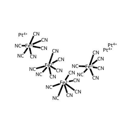 N#[C][Fe-3]([C]#N)([C]#N)([C]#N)([C]#N)[C]#N.N#[C][Fe-3]([C]#N)([C]#N)([C]#N)([C]#N)[C]#N.N#[C][Fe-3]([C]#N)([C]#N)([C]#N)([C]#N)[C]#N.N#[C][Fe-3]([C]#N)([C]#N)([C]#N)([C]#N)[C]#N.[Pt+4].[Pt+4].[Pt+4]